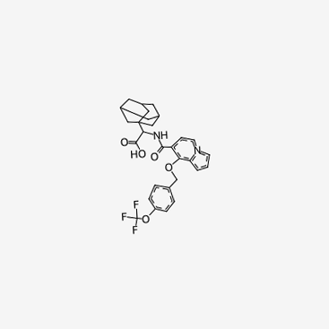 O=C(NC(C(=O)O)C12CC3CC(CC(C3)C1)C2)c1ccn2cccc2c1OCc1ccc(OC(F)(F)F)cc1